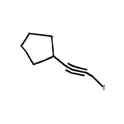 IC#CC1[CH]CCC1